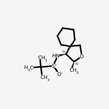 C[C@@H]1OCC2(CCCCC2)[C@@H]1N[S+]([O-])C(C)(C)C